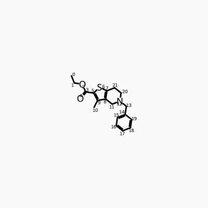 CCOC(=O)c1sc2c(c1C)CN(Cc1ccccc1)CC2